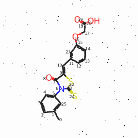 Cc1cccc(N2C(=O)/C(=C/c3cccc(OCC(=O)O)c3)SC2=S)c1